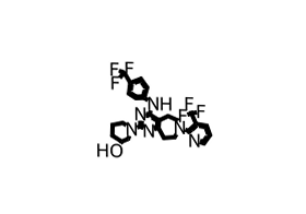 OC1CCCN(c2nc3c(c(Nc4ccc(C(F)(F)F)cc4)n2)CCN(c2ncccc2C(F)(F)F)CC3)C1